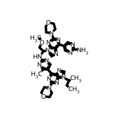 CCC(C)n1cnc2c(-c3cnc(NC(COC)n4cnc5c(-c6cnc(N)nc6)nc(N6CCOCC6)nc54)nc3C)nc(N3CCOCC3)nc21